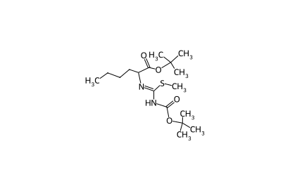 CCCCC(N=C(NC(=O)OC(C)(C)C)SC)C(=O)OC(C)(C)C